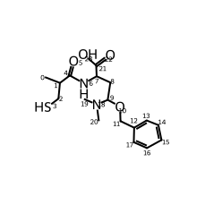 CC(CS)C(=O)NC(CC(OCc1ccccc1)N(C)C)C(=O)O